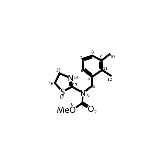 COC(=O)N(Cc1cccc(C)c1C)C1=NCCS1